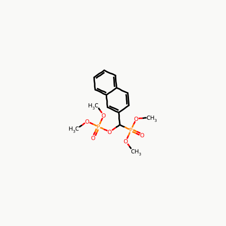 COP(=O)(OC)OC(c1ccc2ccccc2c1)P(=O)(OC)OC